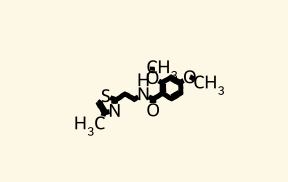 COc1ccc(C(=O)NCCc2nc(C)cs2)c(OC)c1